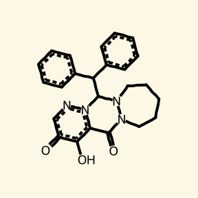 O=C1c2c(O)c(=O)cnn2C(C(c2ccccc2)c2ccccc2)N2CCCCCN12